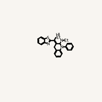 CCN(CC)C1C(=C(C)c2nc3ccccc3s2)Cc2ccccc2N1c1ccccc1.I